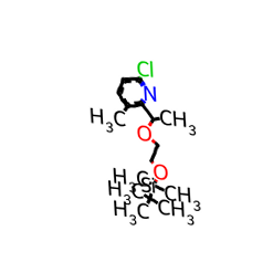 Cc1ccc(Cl)nc1C(C)OCCO[Si](C)(C)C(C)(C)C